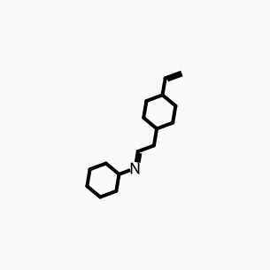 C=CC1CCC(CC=NC2CCCCC2)CC1